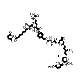 CC(=O)O[C@@H](C)/C=C\C(=O)N[C@@H]1C[C@H](C)[C@H](C/C=C(C)/C=C/[C@@H]2C[C@]3(CO3)C[C@@H](CC(=O)NNC(=O)OCc3ccc(NC(=O)[C@H](CCCNC(N)=O)NC(=O)[C@@H](NC(=O)CCCCCC(=O)ON4C(=O)CCC4=O)C(C)C)cc3)O2)O[C@@H]1C